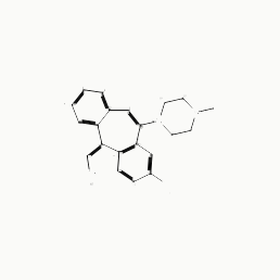 CN1CCN(C2=Cc3ccccc3/C(=C/C#N)c3ccc(Cl)cc32)CC1